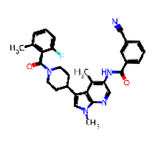 Cc1cccc(F)c1C(=O)N1CCC(c2cn(C)c3ncc(NC(=O)c4cccc(C#N)c4)c(C)c23)CC1